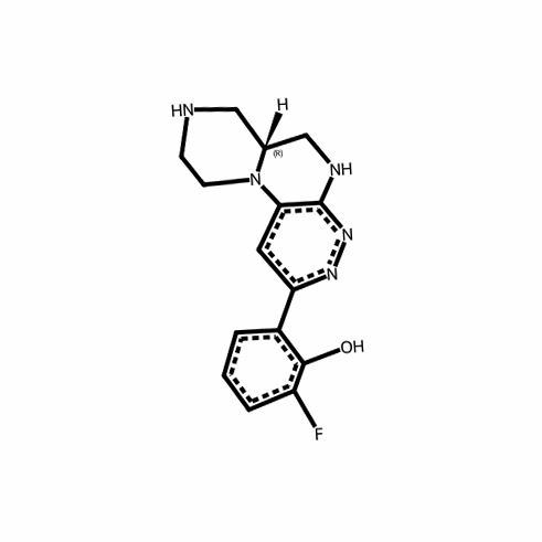 Oc1c(F)cccc1-c1cc2c(nn1)NC[C@H]1CNCCN21